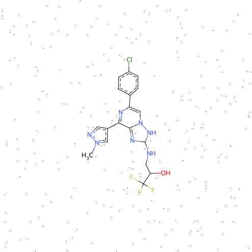 Cn1cc(C2=NC(c3ccc(Cl)cc3)=CN3NC(NCC(O)C(F)(F)F)N=C23)cn1